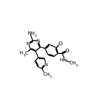 CNC(=O)c1ccc(-c2nc(N)nc(C)c2-c2ccc(C)nc2)cc1Cl